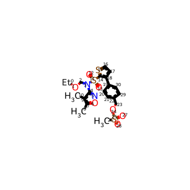 CCOCN(c1noc(C)c1C)S(=O)(=O)c1sccc1-c1ccc(COS(C)(=O)=O)cc1